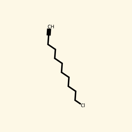 C#CCCCCCCCCCCl